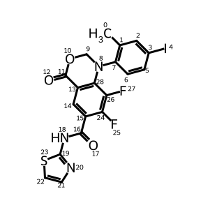 Cc1cc(I)ccc1N1COC(=O)c2cc(C(=O)Nc3nccs3)c(F)c(F)c21